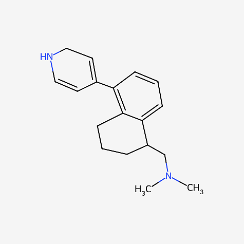 CN(C)CC1CCCc2c(C3=CCNC=C3)cccc21